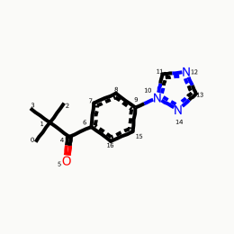 CC(C)(C)C(=O)c1ccc(-n2cncn2)cc1